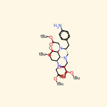 CC(C)(C)CC(=O)CN(C[C@@H](Cc1ccc(N)cc1)N(CC(=O)OC(C)(C)C)CC(=O)OC(C)(C)C)[C@H]1CCCC[C@@H]1N(CC(=O)OC(C)(C)C)CC(=O)OC(C)(C)C